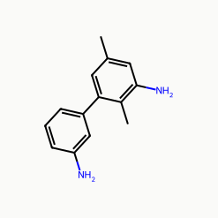 Cc1cc(N)c(C)c(-c2cccc(N)c2)c1